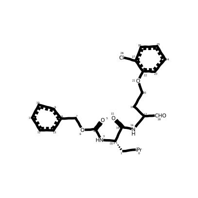 CC(C)C[C@H](NC(=O)OCc1ccccc1)C(=O)NC(C=O)CCOc1ccccc1Cl